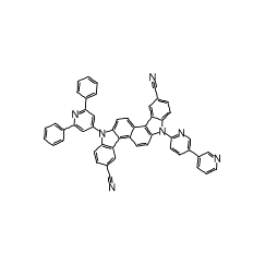 N#Cc1ccc2c(c1)c1c3ccc4c(c3ccc1n2-c1cc(-c2ccccc2)nc(-c2ccccc2)c1)c1cc(C#N)ccc1n4-c1ccc(-c2cccnc2)cn1